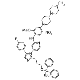 COc1cc(N2CCC(N3CCN(C)CC3)CC2)c([N+](=O)[O-])cc1Nc1cc(-n2c(CCCO[Si](c3ccccc3)(c3ccccc3)C(C)(C)C)nnc2-c2ccc(F)cc2)ccn1